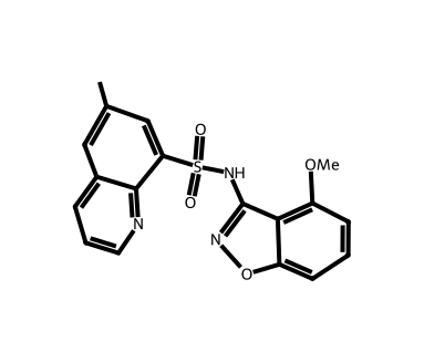 COc1cccc2onc(NS(=O)(=O)c3cc(C)cc4cccnc34)c12